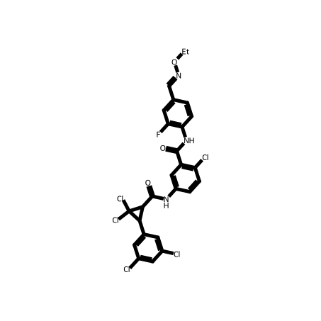 CCO/N=C/c1ccc(NC(=O)c2cc(NC(=O)C3C(c4cc(Cl)cc(Cl)c4)C3(Cl)Cl)ccc2Cl)c(F)c1